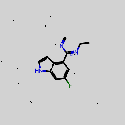 C=N/C(=N\CC)c1cc(F)cc2[nH]ccc12